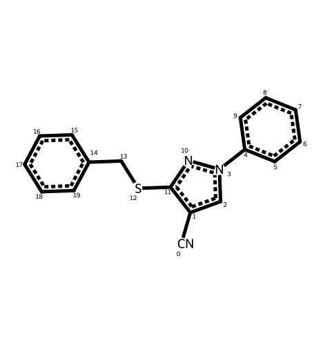 N#Cc1cn(-c2ccccc2)nc1SCc1ccccc1